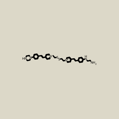 NCCNc1ccc(/C=C/c2cc[n+](CCSSCC[n+]3ccc(/C=C/c4ccc(N5CCNCC5)cc4)cc3)cc2)cc1